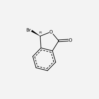 O=C1O[C@H](Br)c2ccccc21